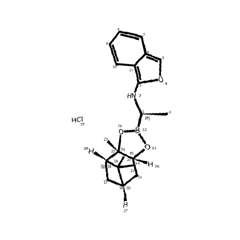 C[C@H](Nc1occ2ccccc12)B1O[C@@H]2C[C@@H]3C[C@@H](C3(C)C)[C@]2(C)O1.Cl